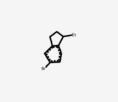 CCC1CCc2cc(Br)ccc21